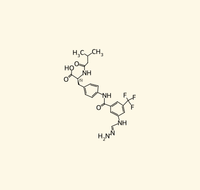 CC(C)CC(=O)N[C@@H](Cc1ccc(NC(=O)c2cc(NC=NN)cc(C(F)(F)F)c2)cc1)C(=O)O